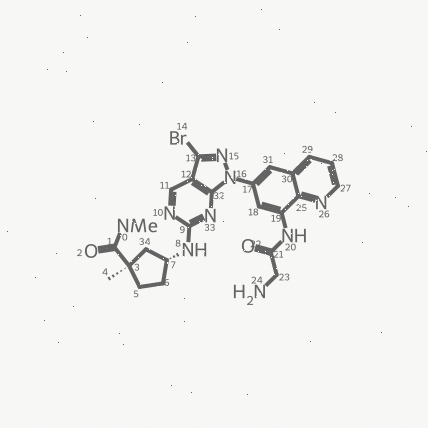 CNC(=O)[C@]1(C)CC[C@@H](Nc2ncc3c(Br)nn(-c4cc(NC(=O)CN)c5ncccc5c4)c3n2)C1